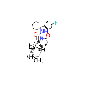 C[C@@]12CCC[C@H]1[C@@H]1CC[C@H]3N(C(=O)NC4(c5ccc(F)cc5)CCCCC4)C(=O)C=C[C@]3(C)[C@H]1CC2